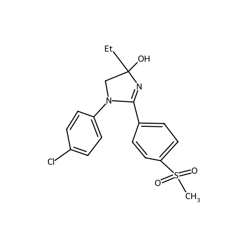 CCC1(O)CN(c2ccc(Cl)cc2)C(c2ccc(S(C)(=O)=O)cc2)=N1